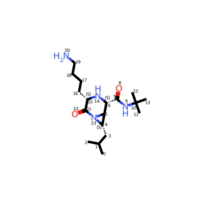 CC(C)C[C@H]1C2[C@@H](C(=O)NC(C)(C)C)N[C@@H](CCCCN)C(=O)N21